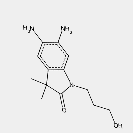 CC1(C)C(=O)N(CCCO)c2cc(N)c(N)cc21